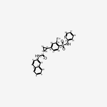 O=C(Nc1ccc2ccccc2c1)[C@@H]1CC1c1ccc(S(=O)(=O)Nc2ccccn2)c(F)c1